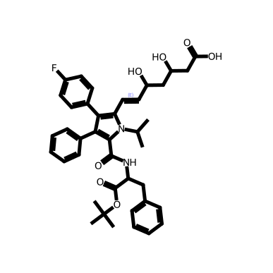 CC(C)n1c(/C=C/C(O)CC(O)CC(=O)O)c(-c2ccc(F)cc2)c(-c2ccccc2)c1C(=O)NC(Cc1ccccc1)C(=O)OC(C)(C)C